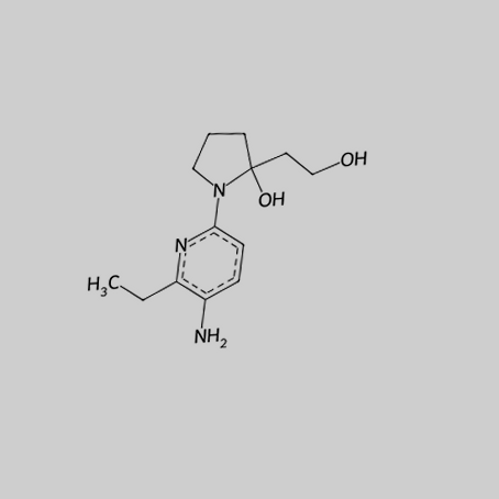 CCc1nc(N2CCCC2(O)CCO)ccc1N